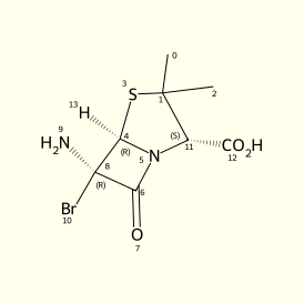 CC1(C)S[C@H]2N(C(=O)[C@@]2(N)Br)[C@H]1C(=O)O